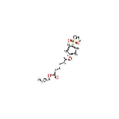 CCOC(=O)CCCCCOc1ccc(S(C)(=O)=O)cc1